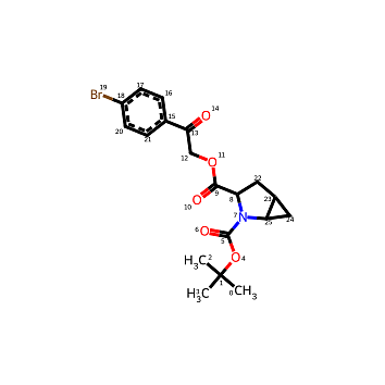 CC(C)(C)OC(=O)N1C(C(=O)OCC(=O)c2ccc(Br)cc2)CC2CC21